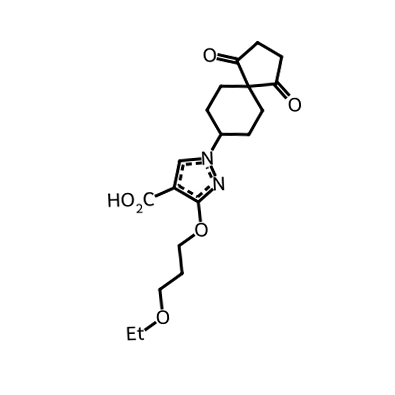 CCOCCCOc1nn(C2CCC3(CC2)C(=O)CCC3=O)cc1C(=O)O